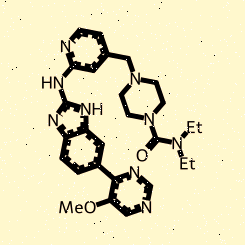 CCN(CC)C(=O)N1CCN(Cc2ccnc(Nc3nc4ccc(-c5ncncc5OC)cc4[nH]3)c2)CC1